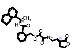 C[C@@H](NC(=O)c1ccccc1CNC(=O)C(=O)NC/C=C1\CCOC1=O)c1cccc2ccccc12